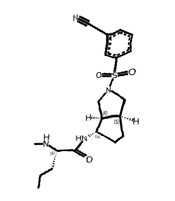 CCC[C@H](NC)C(=O)N[C@H]1CC[C@@H]2CN(S(=O)(=O)c3cccc(C#N)c3)C[C@@H]21